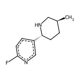 C[C@H]1CC[C@H](c2ccc(F)nc2)NC1